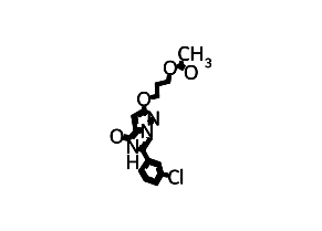 CC(=O)OCCCOc1cc2c(=O)[nH]c(-c3cccc(Cl)c3)cn2n1